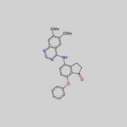 COc1cc2ncnc(Nc3ccc(Oc4ccccc4)c4c3CCC4=O)c2cc1OC